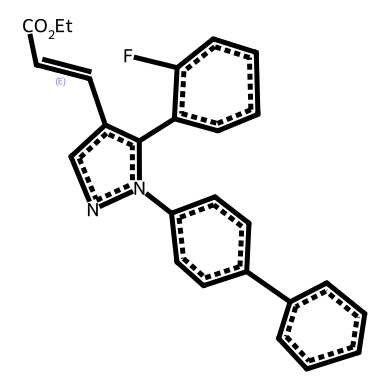 CCOC(=O)/C=C/c1cnn(-c2ccc(-c3ccccc3)cc2)c1-c1ccccc1F